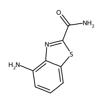 NC(=O)c1nc2c(N)cccc2s1